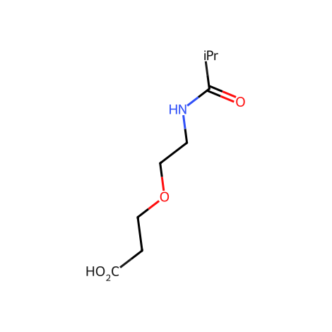 CC(C)C(=O)NCCOCCC(=O)O